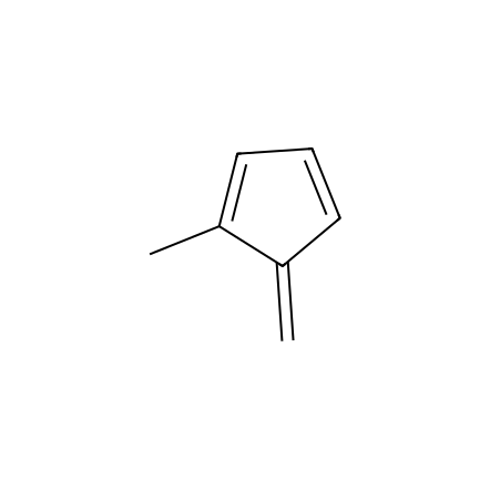 C=C1C=CC=C1C